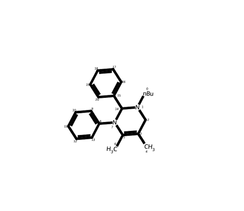 CCCCN1CC(C)=C(C)N(c2ccccc2)C1c1ccccc1